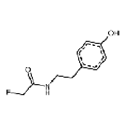 O=C(CF)NCCc1ccc(O)cc1